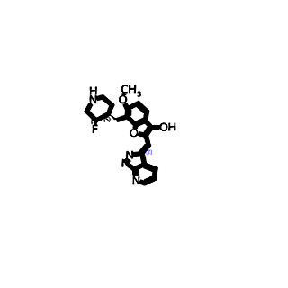 COc1ccc2c(O)c(/C=C3\N=Nc4ncccc43)oc2c1C[C@H]1CCNC[C@H]1F